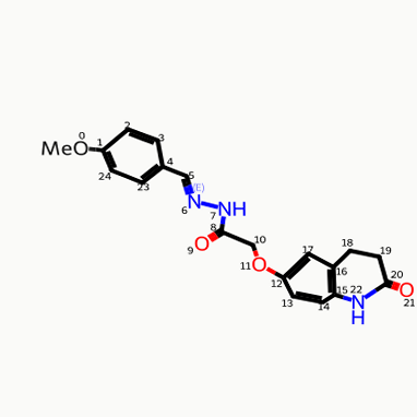 COc1ccc(/C=N/NC(=O)COc2ccc3c(c2)CCC(=O)N3)cc1